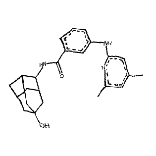 Cc1cc(C)nc(Nc2cccc(C(=O)NC3C4CC5CC3CC(O)(C5)C4)c2)c1